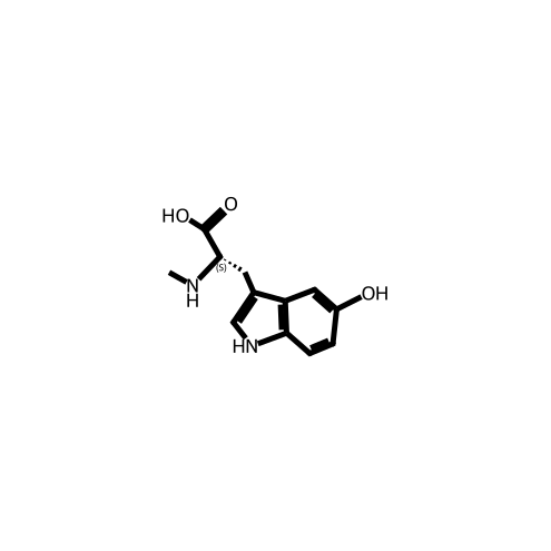 CN[C@@H](Cc1c[nH]c2ccc(O)cc12)C(=O)O